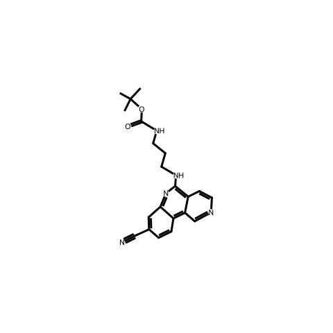 CC(C)(C)OC(=O)NCCCNc1nc2cc(C#N)ccc2c2cnccc12